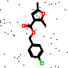 Cc1cc(C(=O)OCc2ccc(Cl)cc2)c(C)o1